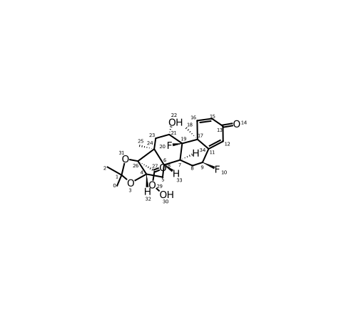 CC1(C)O[C@H]2C[C@H]3[C@@H]4C[C@H](F)C5=CC(=O)C=C[C@]5(C)[C@@]4(F)[C@@H](O)C[C@]3(C)[C@]2(C(=O)OO)O1